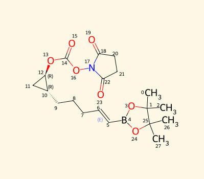 CC1(C)OB(/C=C/CCC[C@@H]2C[C@H]2OC(=O)ON2C(=O)CCC2=O)OC1(C)C